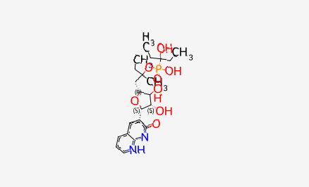 CCC(C)(C[C@H]1O[C@@H](c2cc3ccc[nH]c-3nc2=O)[C@@H](O)C1O)OP(=O)(O)C(O)(CC)CC